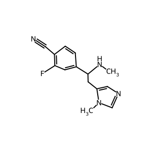 CNC(Cc1cncn1C)c1ccc(C#N)c(F)c1